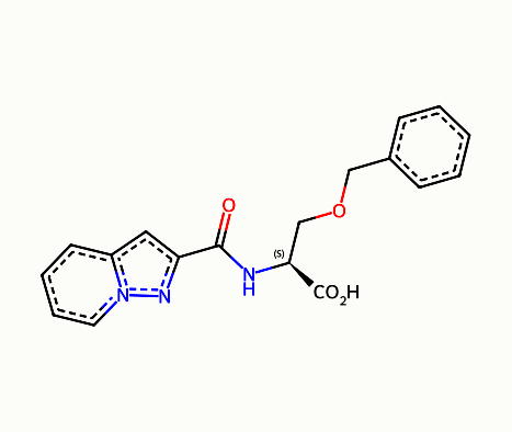 O=C(N[C@@H](COCc1ccccc1)C(=O)O)c1cc2ccccn2n1